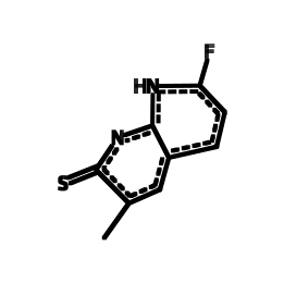 Cc1cc2ccc(F)[nH]c-2nc1=S